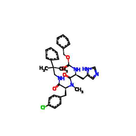 CN(C(=O)[C@H](Cc1cnc[nH]1)NC(=O)OCc1ccccc1)[C@@H](Cc1ccc(Cl)cc1)C(=O)NCC(C)(C)c1ccccc1